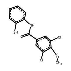 COc1c(Cl)cc(C(=O)Nc2ccccc2S)cc1Cl